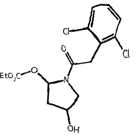 CCOC(=O)OC1CC(O)CN1C(=O)Cc1c(Cl)cccc1Cl